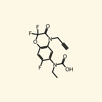 C#CCN1C(=O)C(F)(F)Oc2cc(F)c(N(CC)C(=O)O)cc21